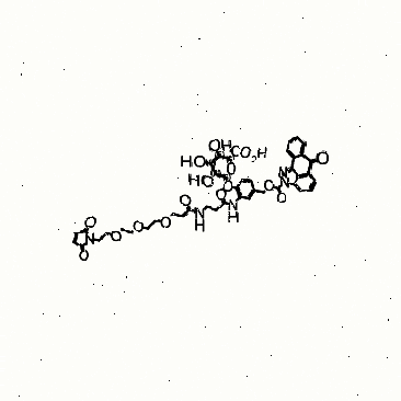 O=C(CCOCCOCCOCCN1C(=O)C=CC1=O)NCCC(=O)Nc1cc(COC(=O)n2nc3c4c(cccc42)C(=O)c2ccccc2-3)ccc1O[C@@H]1O[C@H](C(=O)O)[C@@H](O)[C@H](O)[C@H]1O